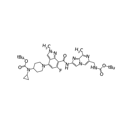 Cc1nc(CNC(=O)OC(C)(C)C)cn2cc(NC(=O)c3c(F)cc(N4CCC(N(C(=O)OC(C)(C)C)C5CC5)CC4)c4cn(C)nc34)nc12